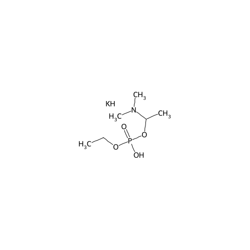 CCOP(=O)(O)OC(C)N(C)C.[KH]